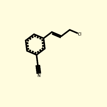 N#Cc1cccc(C=CCCl)c1